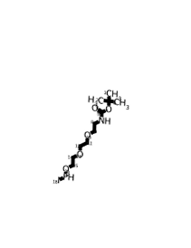 CC(C)(C)OC(=O)NCCOCCOCCOPI